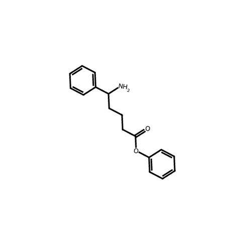 NC(CCCC(=O)Oc1ccccc1)c1ccccc1